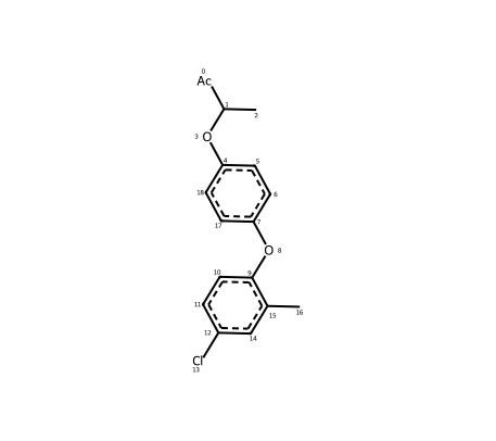 CC(=O)C(C)Oc1ccc(Oc2ccc(Cl)cc2C)cc1